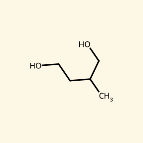 C[C](CO)CCO